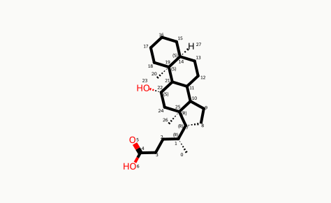 C[C@H](CCC(=O)O)[C@H]1CCC2C3CC[C@@H]4CCCC[C@]4(C)C3[C@@H](O)C[C@@]21C